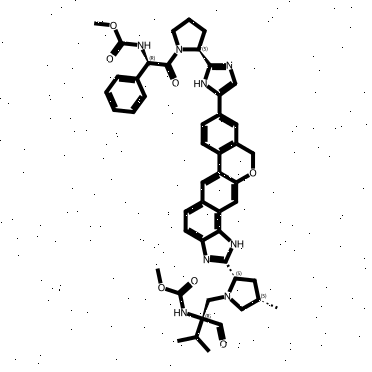 COC(=O)N[C@@H](C(=O)N1CCC[C@H]1c1ncc(-c2ccc3c(c2)COc2cc4c(ccc5nc([C@@H]6C[C@H](C)CN6C[C@](C=O)(NC(=O)OC)C(C)C)[nH]c54)cc2-3)[nH]1)c1ccccc1